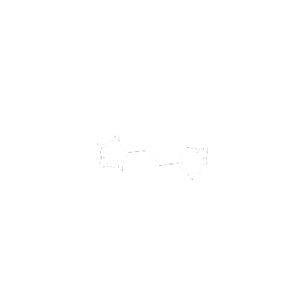 C(=C\c1nnn[nH]1)/c1cnon1